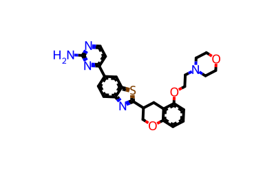 Nc1nccc(-c2ccc3nc(C4COc5cccc(OCCN6CCOCC6)c5C4)sc3c2)n1